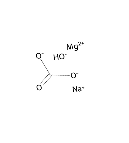 O=C([O-])[O-].[Mg+2].[Na+].[OH-]